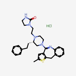 Cc1cc2c(s1)Cc1ccccc1N=C2N1CCN(CCN2CCNC2=O)[C@@H](CCc2ccccc2)C1.Cl